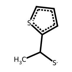 CC([S])c1cccs1